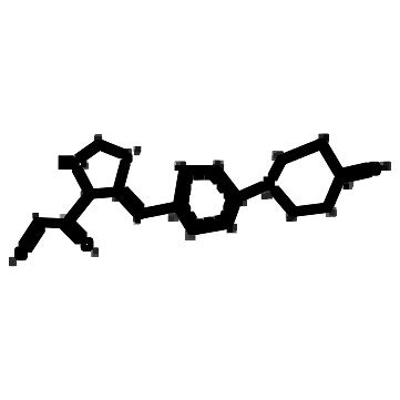 O=CC(=O)C1NCSC1=Cc1ccc(N2CCC(=O)CC2)cc1